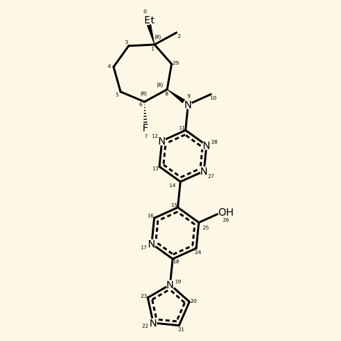 CC[C@]1(C)CCC[C@@H](F)[C@H](N(C)c2ncc(-c3cnc(-n4ccnc4)cc3O)nn2)C1